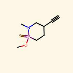 C#CC1CCP(=S)(OC)N(C)C1